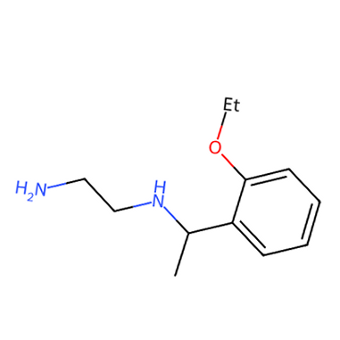 CCOc1ccccc1C(C)NCCN